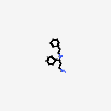 NCCC(NCCc1ccccc1)c1ccccc1